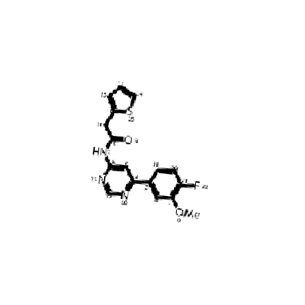 COc1cc(-c2cc(NC(=O)Cc3cccs3)ncn2)ccc1F